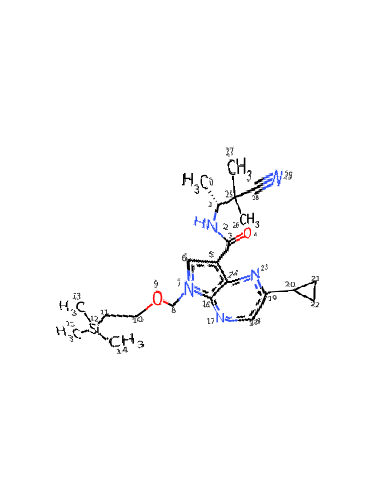 C[C@@H](NC(=O)c1cn(COCC[Si](C)(C)C)c2ncc(C3CC3)nc12)C(C)(C)C#N